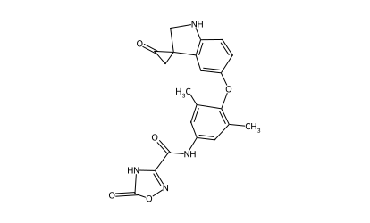 Cc1cc(NC(=O)c2noc(=O)[nH]2)cc(C)c1Oc1ccc2c(c1)C1(CN2)CC1=O